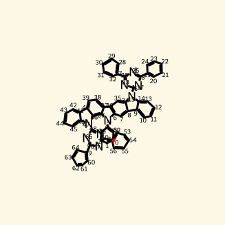 C1=CCCC(n2c3cc4c5ccccc5n(-c5nc(-c6ccccc6)nc(-c6ccccc6)n5)c4cc3c3ccc4c5ccccc5n(-c5nc(-c6ccccc6)nc(-c6ccccc6)n5)c4c32)=C1